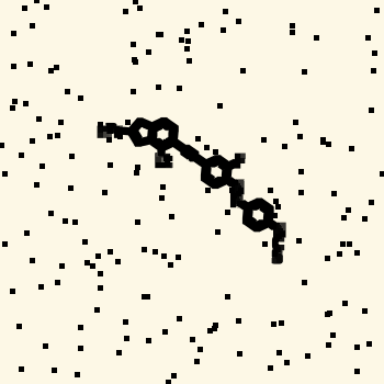 CCCC1=Cc2c(ccc(C#Cc3ccc(N=Nc4ccc(N=C=S)cc4)c(F)c3)c2CC)C1